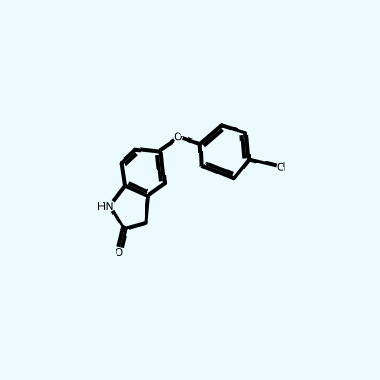 O=C1Cc2cc(Oc3ccc(Cl)cc3)ccc2N1